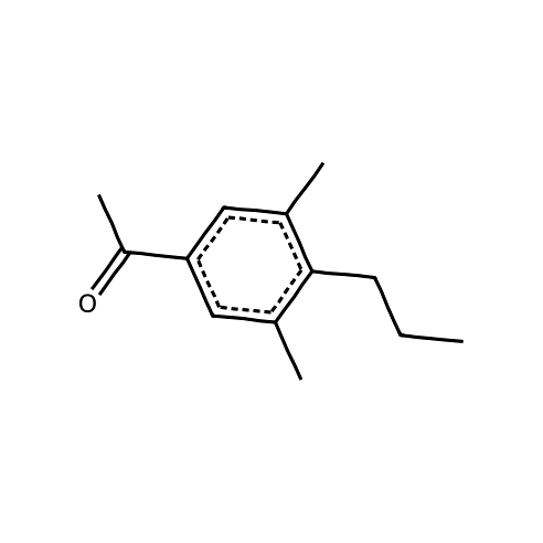 CCCc1c(C)cc(C(C)=O)cc1C